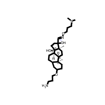 CN(C)CCCO/N=C/C1(O)CC[C@@]2(O)[C@@H]3CCC4CC(OCCCN)CC[C@]4(C)[C@@H]3CC[C@]12C